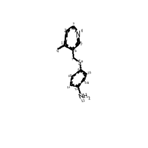 Cc1ccncc1CSc1ccc(N)cc1